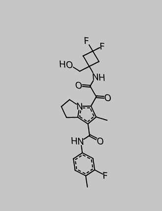 Cc1ccc(NC(=O)c2c(C)c(C(=O)C(=O)NC3(CO)CC(F)(F)C3)n3c2CCC3)cc1F